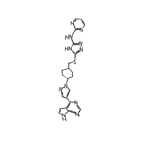 c1cnc(Nc2nnc(SCC3CCC(n4cc(-c5ncnc6[nH]ccc56)cn4)CC3)[nH]2)nc1